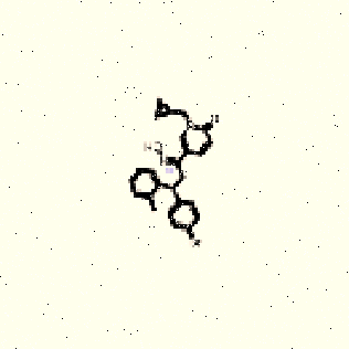 Cc1ccccc1C(C/C(=N/O)c1ccc(=O)n(CC2CC2)c1)c1ccc(Br)cc1